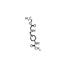 CCOC(=O)CNSN1CCC(NC(C)=O)CC1